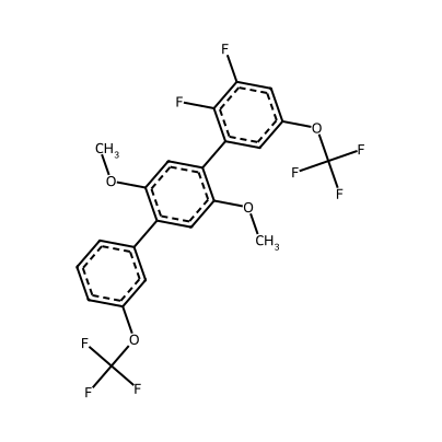 COc1cc(-c2cc(OC(F)(F)F)cc(F)c2F)c(OC)cc1-c1cccc(OC(F)(F)F)c1